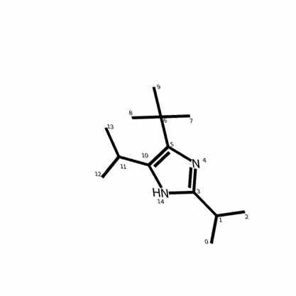 CC(C)c1nc(C(C)(C)C)c(C(C)C)[nH]1